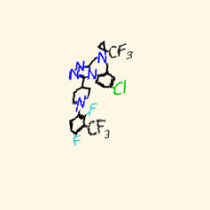 Fc1ccc(N2CCC(c3nnc4n3-c3ccc(Cl)cc3CN(C3(C(F)(F)F)CC3)C4)CC2)c(F)c1C(F)(F)F